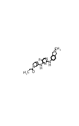 C=CC(=O)N1CC2CC(Nc3nc(Nc4ccc5c(c4)CN(C)C5)ncc3F)C1C2